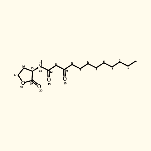 CCCCCCCCCC(=O)CC(=O)N[C@@H]1CCOC1=O